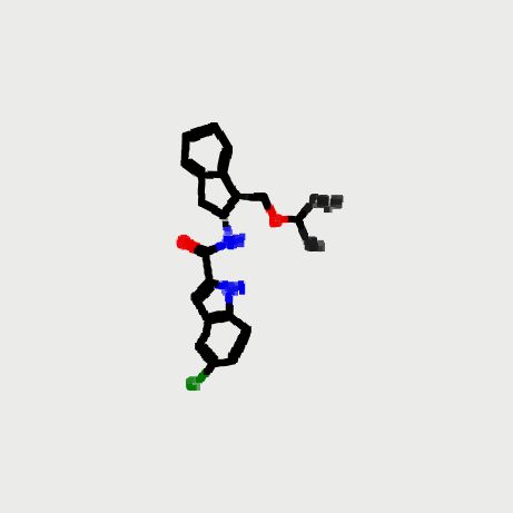 CC(C)(C)C(OC[C@@H]1c2ccccc2C[C@H]1NC(=O)c1cc2cc(Cl)ccc2[nH]1)C(=O)O